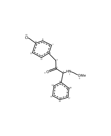 CONC(C(=O)Cc1ccc(Cl)cc1)c1ccccc1